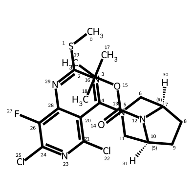 CSc1nc(N2C[C@H]3CC[C@@H](C2)N3C(=O)OC(C)(C)C)c2c(Cl)nc(Cl)c(F)c2n1